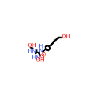 CC(C)(NCCO)[C@H](NC(=O)c1ccc(C#CC#CCCO)cc1)C(=O)NO